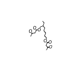 CCC(CCCCCOC(=O)CC(C)=O)COC(=O)CC(C)=O